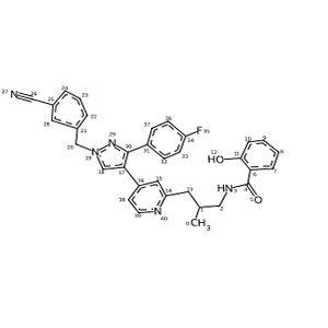 CC(CNC(=O)c1ccccc1O)Cc1cc(-c2cn(Cc3cccc(C#N)c3)nc2-c2ccc(F)cc2)ccn1